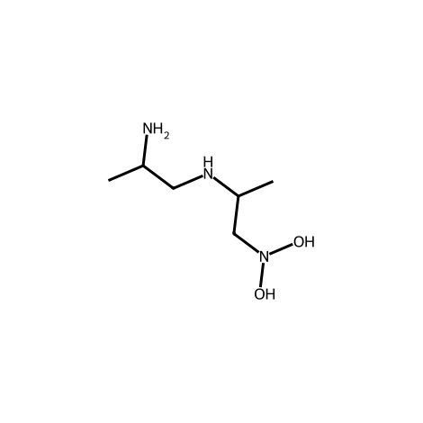 CC(N)CNC(C)CN(O)O